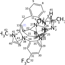 C[C@@H]1[N+]23C=C[N+]14c1ccccc1C/C1=C(\Cc5ccccc52)C2[C@@H]5N(C=C[N+]25C)c2cc(C(F)(F)F)cc(c2CC34)[N+]23C=C[N@+](C)(C2)C13